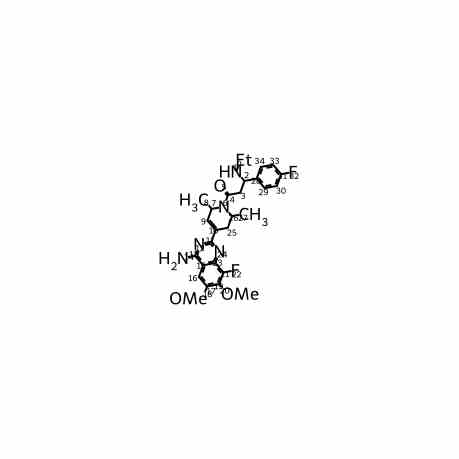 CCNC(CC(=O)N1C(C)C=C(c2nc(N)c3cc(OC)c(OC)c(F)c3n2)CC1C)c1ccc(F)cc1